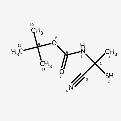 CC(S)(C#N)NC(=O)OC(C)(C)C